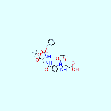 CC(C)(C)OC(=O)C(CNC(=O)c1ccc2c(c1)N(C(=O)OC(C)(C)C)C(CCC(=O)O)N2)NC(=O)OCc1ccccc1